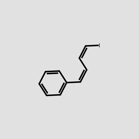 I/C=C\C=C/c1ccccc1